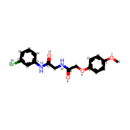 COc1ccc(OCC(=O)NCC(=O)Nc2cccc(Br)c2)cc1